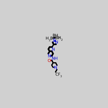 BC(B)(B)n1cc(-c2ccc3cnc(NC(=O)C4CCN(CCC(F)(F)F)CC4)cc3n2)cn1